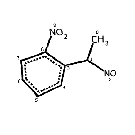 CC(N=O)c1ccccc1[N+](=O)[O-]